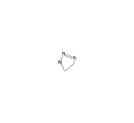 C1CN=N[N]1